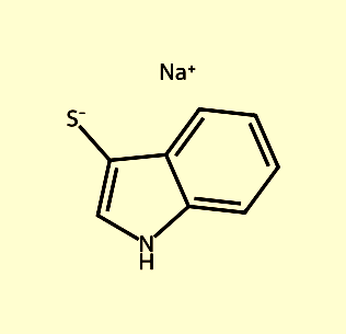 [Na+].[S-]c1c[nH]c2ccccc12